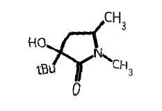 CC1CC(O)(C(C)(C)C)C(=O)N1C